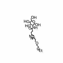 CCOCCOCCn1cc(CCC(=O)NC2C(O)OC(CO)C(O)C2O)nn1